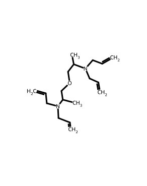 C=CCN(CC=C)C(C)COCC(C)N(CC=C)CC=C